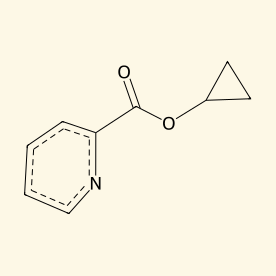 O=C(OC1CC1)c1ccccn1